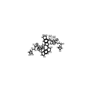 CC(CCS(=O)(=O)NC(=O)Nc1c2c(cc3c1CC(C1CCc4cc5c(c(NC(=O)NS(=O)(=O)C(C)CCN6CCC6)c41)CCC5)C3)CCC2)N1CCC1